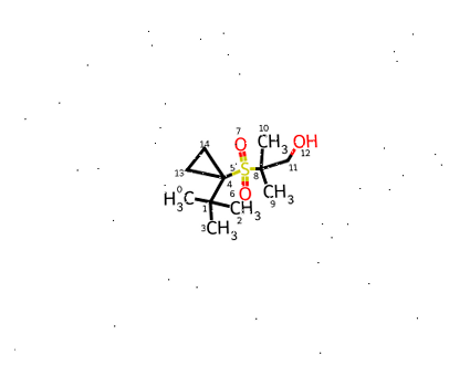 CC(C)(C)C1(S(=O)(=O)C(C)(C)CO)CC1